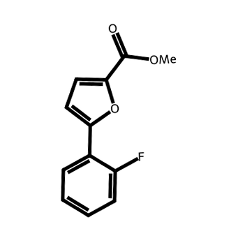 COC(=O)c1ccc(-c2ccccc2F)o1